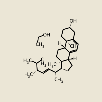 CC(C)[C@@H](C)C=C[C@@H](C)[C@H]1CC[C@H]2C3=CC=C4C[C@@H](O)CC[C@]4(C)[C@H]3CC[C@]12C.CCO